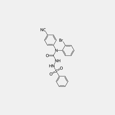 N#Cc1ccc(N(C(=O)NNS(=O)(=O)c2ccccc2)c2ccccc2Br)cc1